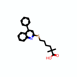 CC(C)(CCCCSc1cc(-c2ccccc2)c2ccccc2n1)C(=O)O